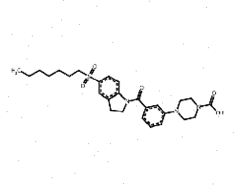 CCCCCCCS(=O)(=O)c1ccc2c(c1)CCN2C(=O)c1cccc(N2CCN(C(=O)O)CC2)c1